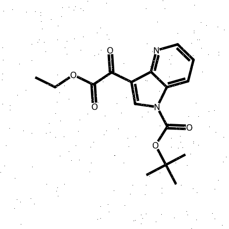 CCOC(=O)C(=O)c1cn(C(=O)OC(C)(C)C)c2cccnc12